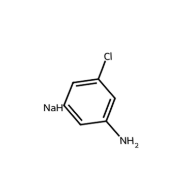 Nc1cccc(Cl)c1.[NaH]